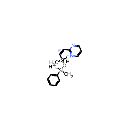 C[Si](C)(/C=C\c1ncccn1)O[Si](C)(C)c1ccccc1